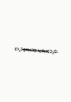 CCOC(=O)CCOCCOCCOCCOCCOCCOCCOCCOCCOCCC(=O)O